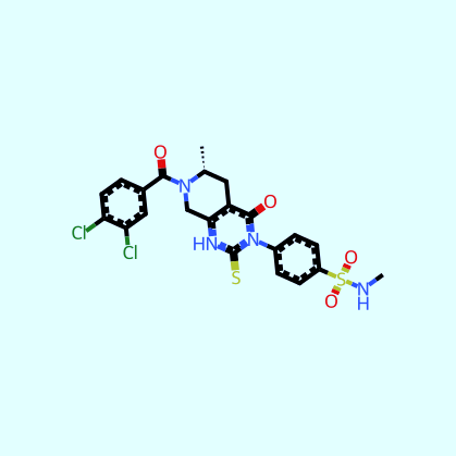 CNS(=O)(=O)c1ccc(-n2c(=S)[nH]c3c(c2=O)C[C@@H](C)N(C(=O)c2ccc(Cl)c(Cl)c2)C3)cc1